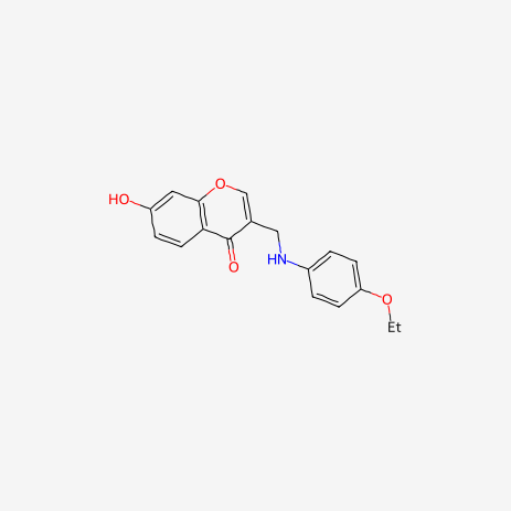 CCOc1ccc(NCc2coc3cc(O)ccc3c2=O)cc1